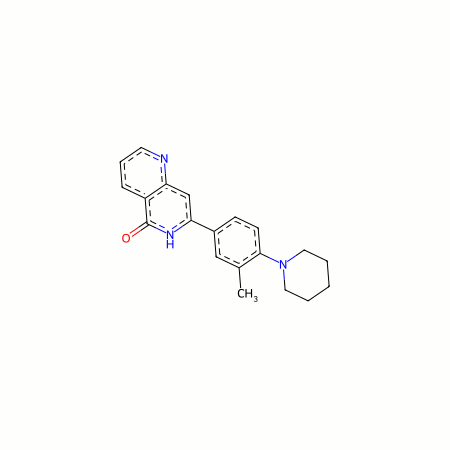 Cc1cc(-c2cc3ncccc3c(=O)[nH]2)ccc1N1CCCCC1